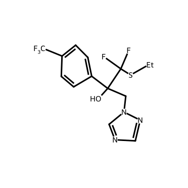 CCSC(F)(F)C(O)(Cn1cncn1)c1ccc(C(F)(F)F)cc1